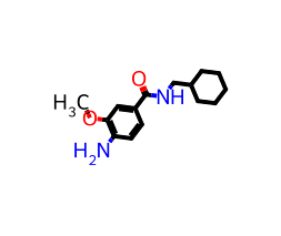 COc1cc(C(=O)NCC2CCCCC2)ccc1N